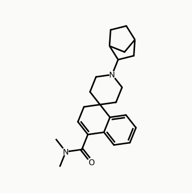 CN(C)C(=O)C1=CCC2(CCN(C3CC4CCC3C4)CC2)c2ccccc21